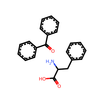 NC(Cc1ccccc1)C(=O)O.O=C(c1ccccc1)c1ccccc1